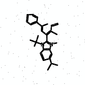 C=C/C(C)=C(\C=C(/C)c1ccccc1)c1n(C(C)(C)C)c2ccc(C(C)C)cc2[n+]1C